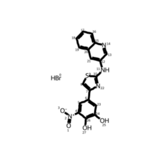 Br.O=[N+]([O-])c1cc(-c2csc(Nc3cnc4ccccc4c3)n2)cc(O)c1O